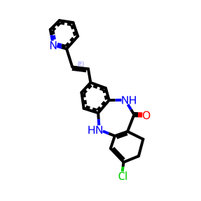 O=C1Nc2cc(/C=C/c3ccccn3)ccc2NC2=C1CCC(Cl)=C2